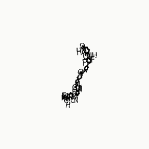 CCN(C)S(=O)(=O)Nc1ccc(F)c(Oc2ccc3ncn([C@H]4CCC5(CCN(C(=O)CN6CCC(c7cc(F)c(NC8CCC(=O)NC8=O)cc7F)CC6)CC5)C4)c(=O)c3c2)c1C#N